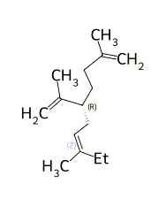 [CH2]C/C(C)=C\C[C@@H](CCC(=C)C)C(=C)C